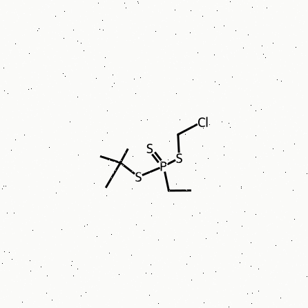 CCP(=S)(SCCl)SC(C)(C)C